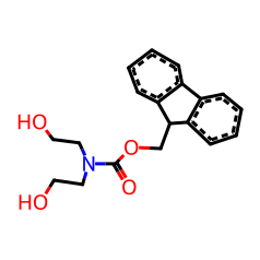 O=C(OCC1c2ccccc2-c2ccccc21)N(CCO)CCO